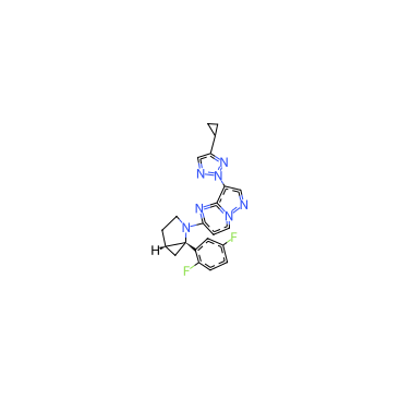 Fc1ccc(F)c([C@@]23C[C@@H]2CCN3c2ccn3ncc(-n4ncc(C5CC5)n4)c3n2)c1